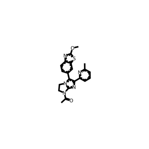 COc1nc2ccc(-c3c(-c4cccc(C)n4)nc4n3CCN4C(C)=O)cc2s1